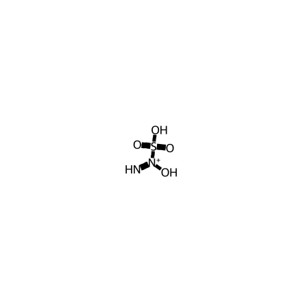 N=[N+](O)S(=O)(=O)O